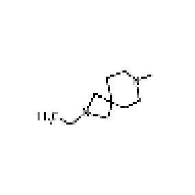 CCN1CC2(CCN(I)CC2)C1